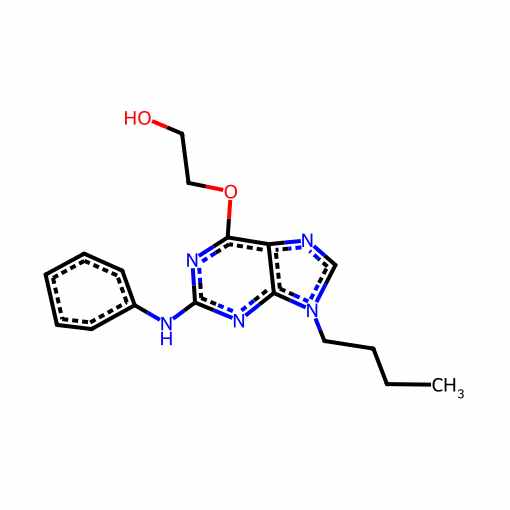 CCCCn1cnc2c(OCCO)nc(Nc3ccccc3)nc21